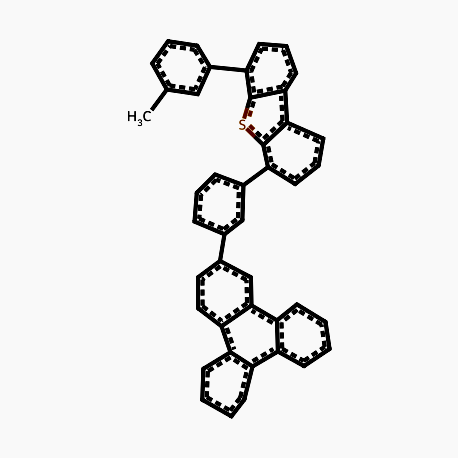 Cc1cccc(-c2cccc3c2sc2c(-c4cccc(-c5ccc6c7ccccc7c7ccccc7c6c5)c4)cccc23)c1